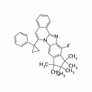 CC1(C)c2cc3c(nc4c5ccccc5cc(C5(c6ccccc6)CC5)n34)c(F)c2C(C)(C)C1(C)C